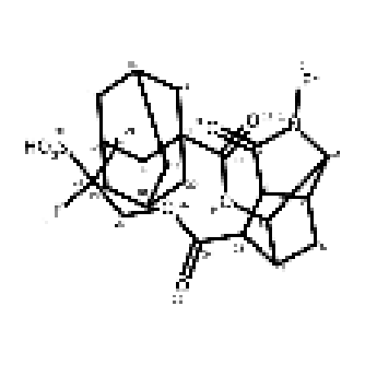 CC(C)N1C(=O)C2C3CC(C(OC(=O)C45CC6CC(CC(C6)C4)C5)C31)C2C(=O)OCC(F)(F)S(=O)(=O)O